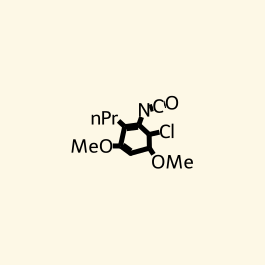 CCCC1=C(N=C=O)C(Cl)C(OC)C=C1OC